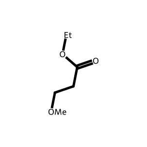 [CH2]OCCC(=O)OCC